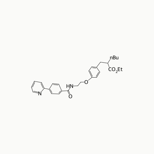 CCCCC(Cc1ccc(OCCNC(=O)c2ccc(-c3ccccn3)cc2)cc1)C(=O)OCC